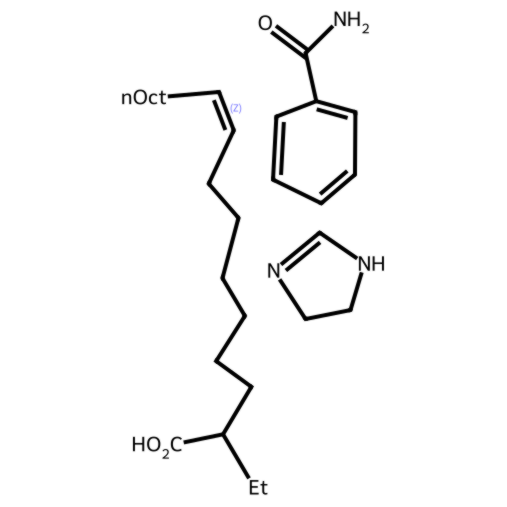 C1=NCCN1.CCCCCCCC/C=C\CCCCCCC(CC)C(=O)O.NC(=O)c1ccccc1